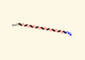 COCCOCCOCCOCCOCCOCCOCCOCCOCCN=[N+]=[N-]